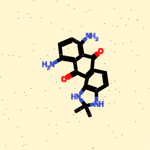 CC1(C)Nc2ccc3c(c2N1)C(=O)c1c(N)ccc(N)c1C3=O